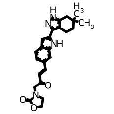 CC1(C)CCc2c(-c3cc4ccc(/C=C/C(=O)CN5CCOC5=O)cc4[nH]3)n[nH]c2C1